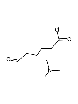 CN(C)C.O=CCCCCC(=O)Cl